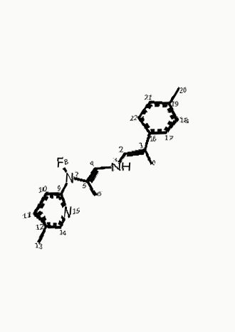 C/C(=C\N/C=C(\C)N(F)c1ccc(C)cn1)c1ccc(C)cc1